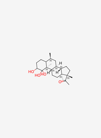 CC(=O)[C@@]1(C)CC[C@H]2[C@@H]3C[C@H](C)C4CCC(O)C(O)(O)[C@]4(C)[C@H]3CC[C@@]21C